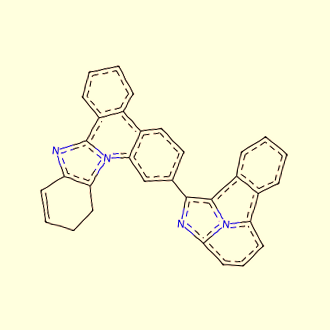 C1=Cc2nc3c4ccccc4c4ccc(-c5nc6cccc7c8ccccc8c5n67)cc4n3c2CC1